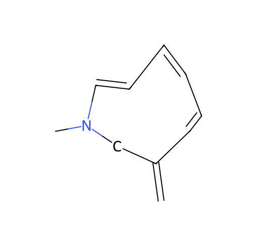 C=C1\C=C/C=C\C=C\N(C)C1